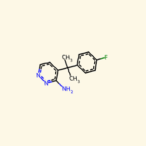 CC(C)(c1ccc(F)cc1)c1ccnnc1N